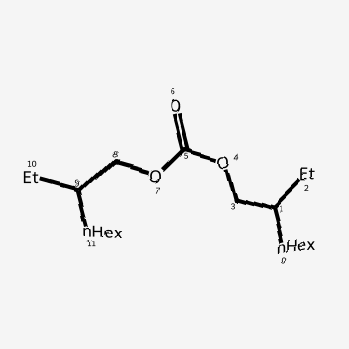 CCCCCCC(CC)COC(=O)OCC(CC)CCCCCC